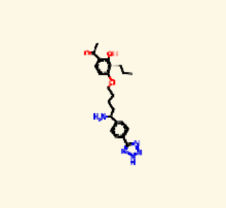 CCCc1c(OCCCCC(N)c2ccc(-c3nn[nH]n3)cc2)ccc(C(C)=O)c1O